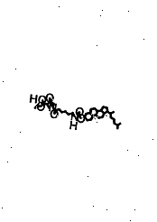 CCOC(O)C1CN(C(=O)CCCCCNC(=O)O[C@H]2CC[C@@]3(C)C(=CCC4C5CCC(C(C)CCCC(C)C)[C@@]5(C)CCC43)C2)CC1=O